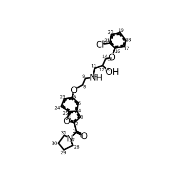 O=C(c1cc2cc(OCCNCC(O)COc3ccccc3Cl)ccc2o1)N1CCCC1